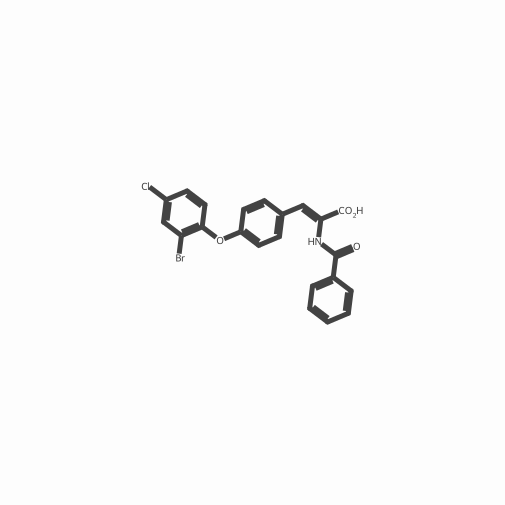 O=C(O)C(=Cc1ccc(Oc2ccc(Cl)cc2Br)cc1)NC(=O)c1ccccc1